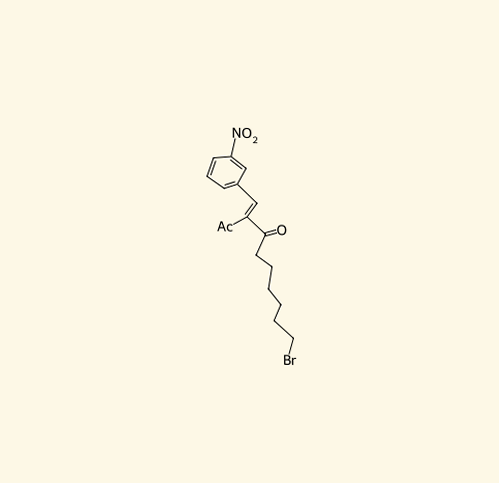 CC(=O)/C(=C\c1cccc([N+](=O)[O-])c1)C(=O)CCCCCCBr